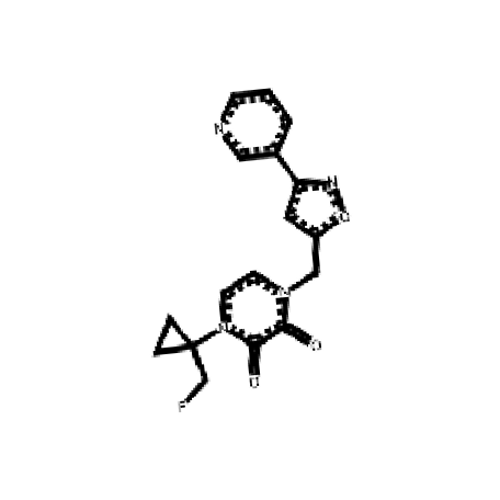 O=c1c(=O)n(C2(CF)CC2)ccn1Cc1cc(-c2cccnc2)no1